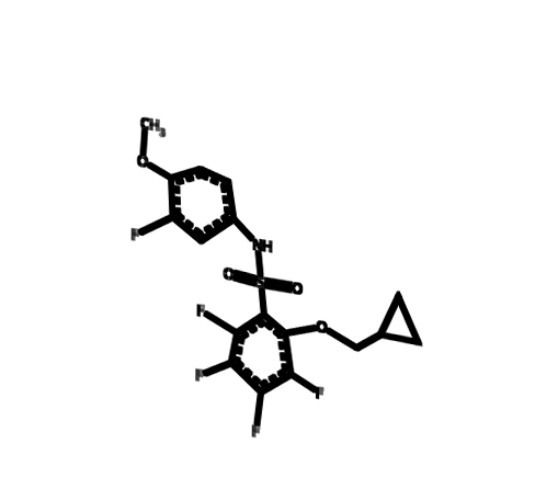 COc1ccc(NS(=O)(=O)c2c(F)c(F)c(F)c(F)c2OCC2CC2)cc1F